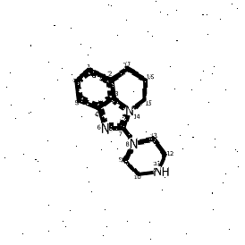 c1cc2c3c(c1)nc(N1CCNCC1)n3CCC2